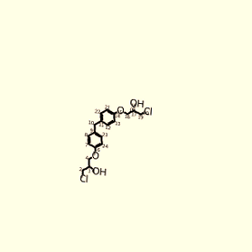 OC(CCl)COc1ccc(Cc2ccc(OC[C@H](O)CCl)cc2)cc1